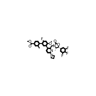 COC(=O)c1ccc(-c2cc(-c3ccc(N4CCC4)nc3CN3C(=O)O[C@H](c4cc(F)c(F)c(F)c4)[C@@H]3C)c(OC)cc2F)c(C)c1